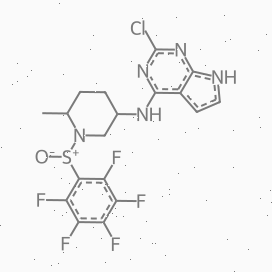 CC1CCC(Nc2nc(Cl)nc3[nH]ccc23)CN1[S+]([O-])c1c(F)c(F)c(F)c(F)c1F